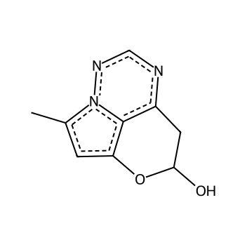 Cc1cc2c3c(ncnn13)CC(O)O2